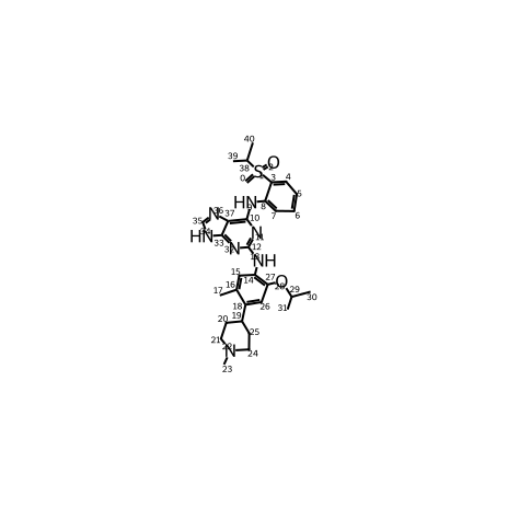 C=S(=O)(c1ccccc1Nc1nc(Nc2cc(C)c(C3CCN(C)CC3)cc2OC(C)C)nc2[nH]cnc12)C(C)C